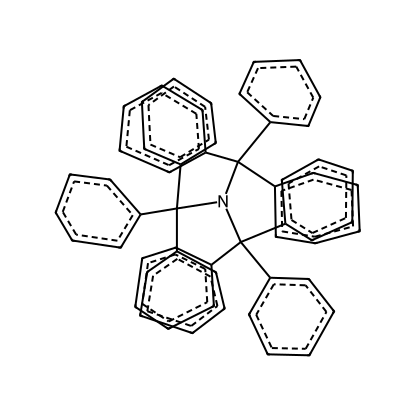 c1ccc(C(c2ccccc2)(c2ccccc2)N(C(c2ccccc2)(c2ccccc2)c2ccccc2)C(c2ccccc2)(c2ccccc2)c2ccccc2)cc1